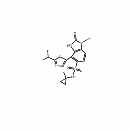 CCn1c(=O)[nH]c2c(-c3nnc(C(F)F)o3)c(S(=O)(=O)NC3(C)CC3)ccc21